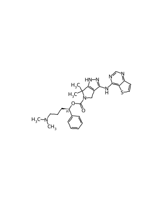 CN(C)CCC[C@@H](OC(=O)N1Cc2c(Nc3ncnc4ccsc34)n[nH]c2C1(C)C)c1ccccc1